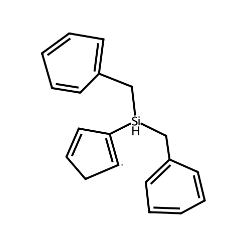 [C]1=C([SiH](Cc2ccccc2)Cc2ccccc2)C=CC1